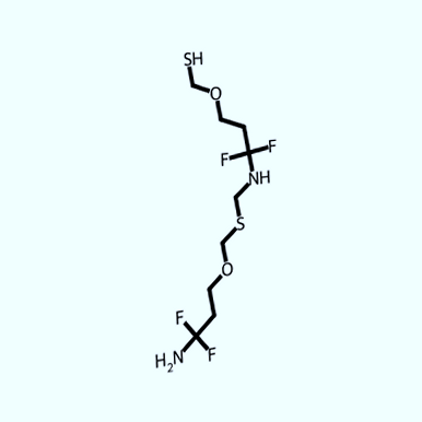 NC(F)(F)CCOCSCNC(F)(F)CCOCS